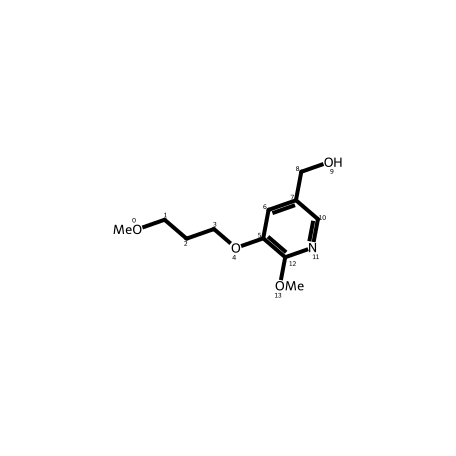 COCCCOc1cc(CO)cnc1OC